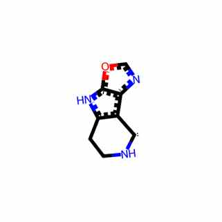 [C]1NCCc2[nH]c3ocnc3c21